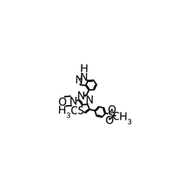 C[C@@H]1COCCN1c1nc(-c2cccc3[nH]ncc23)nc2c(-c3ccc(S(C)(=O)=O)cc3)csc12